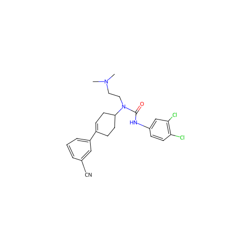 CN(C)CCN(C(=O)Nc1ccc(Cl)c(Cl)c1)C1CC=C(c2cccc(C#N)c2)CC1